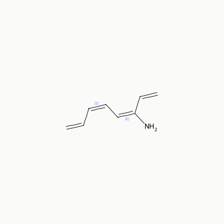 C=C/C=C\C=C(\N)C=C